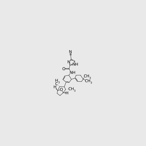 C[C@@H]1C(C2=CC(C3=CCC(C)(C)CC3)C(NC(=O)c3nc(C#N)c[nH]3)C=C2)[C@H](C)[C@@H]2CC[C@H]1O2